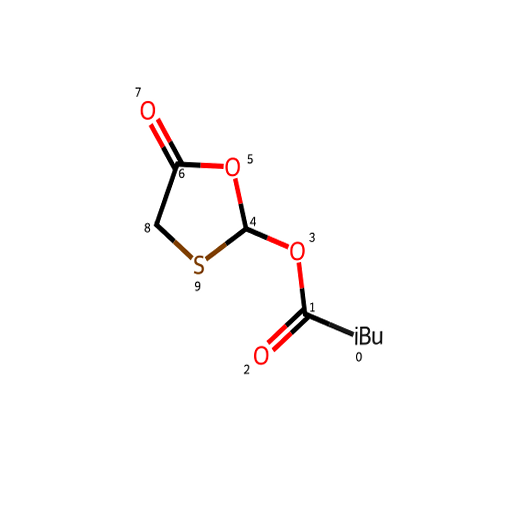 CCC(C)C(=O)OC1OC(=O)CS1